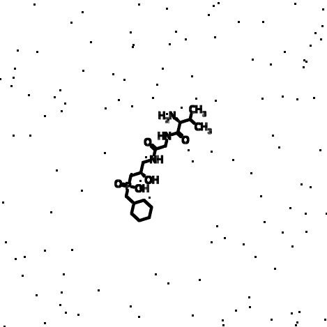 CC(C)[C@H](N)C(=O)NCC(=O)NC[C@@H](O)CP(=O)(O)CC1CCCCC1